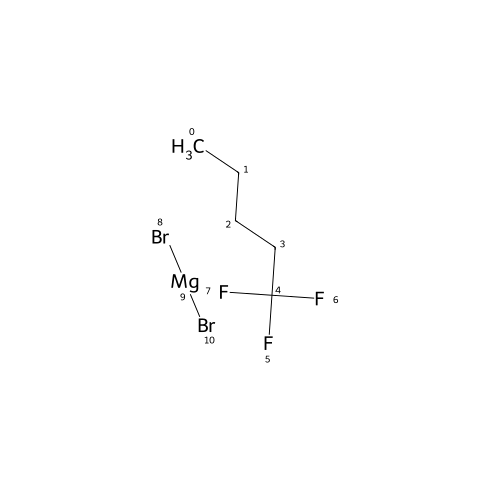 CCCCC(F)(F)F.[Br][Mg][Br]